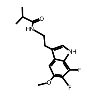 COc1cc2c(CCNC(=O)C(C)C)c[nH]c2c(F)c1F